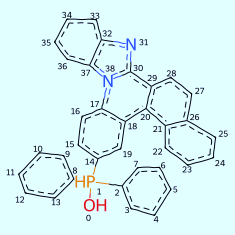 O[PH](c1ccccc1)(c1ccccc1)c1ccc2c(c1)c1c3ccccc3ccc1c1nc3ccccc3n21